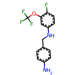 Nc1ccc(CNc2ccc(F)c(OC(F)(F)F)c2)cc1